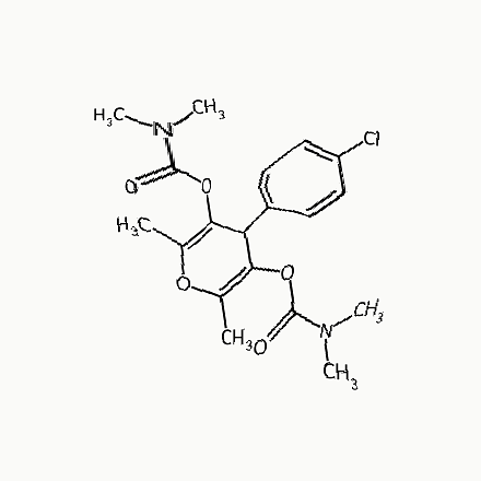 CC1=C(OC(=O)N(C)C)C(c2ccc(Cl)cc2)C(OC(=O)N(C)C)=C(C)O1